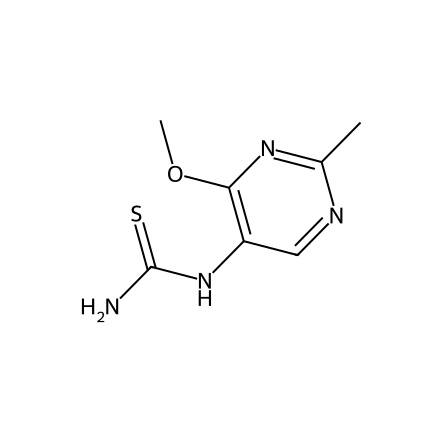 COc1nc(C)ncc1NC(N)=S